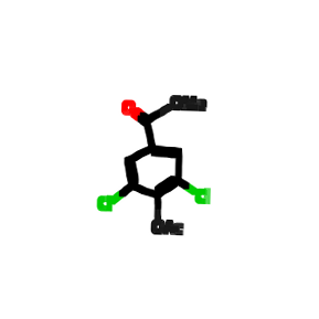 COC(=O)c1cc(Cl)c(OC(C)=O)c(Cl)c1